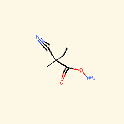 CC(C)(C#N)C(=O)ON